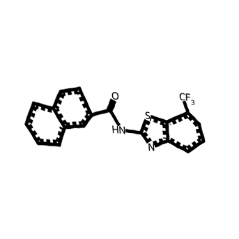 O=C(Nc1nc2cccc(C(F)(F)F)c2s1)c1ccc2ccccc2c1